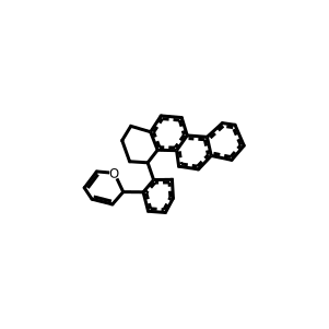 C1=COC(c2ccccc2C2CCCc3ccc4c(ccc5ccccc54)c32)C=C1